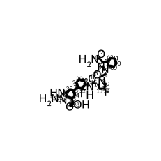 NC(=O)c1nn(CC(=O)N2C[C@H](F)C[C@H]2C(=O)Nc2cccc(-c3cc(C(=O)O)c4nc(N)[nH]c4c3)c2F)c2ccccc12